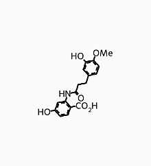 COc1ccc(CCC(=O)Nc2cc(O)ccc2C(=O)O)cc1O